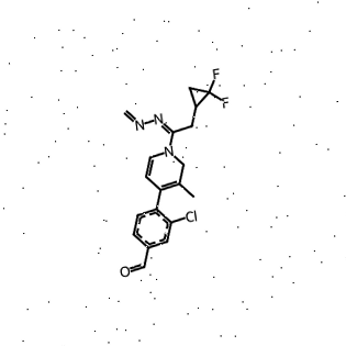 C=N/N=C(/CC1CC1(F)F)N1C=CC(c2ccc(C=O)cc2Cl)=C(C)C1